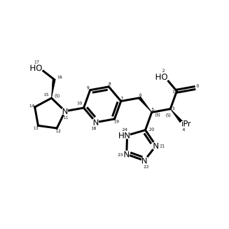 C=C(O)[C@@H](C(C)C)[C@H](Cc1ccc(N2CCC[C@H]2CO)nc1)c1nnn[nH]1